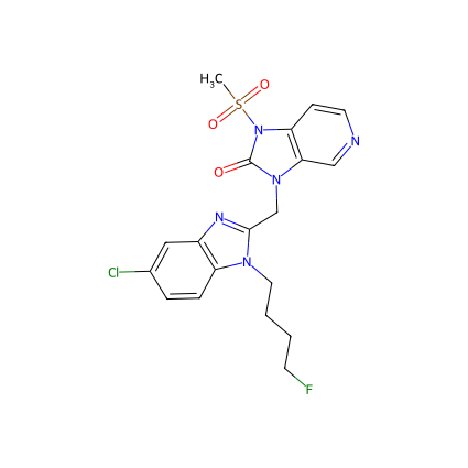 CS(=O)(=O)n1c(=O)n(Cc2nc3cc(Cl)ccc3n2CCCCF)c2cnccc21